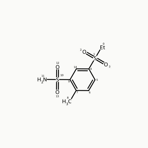 CCS(=O)(=O)c1ccc(C)c(S(N)(=O)=O)c1